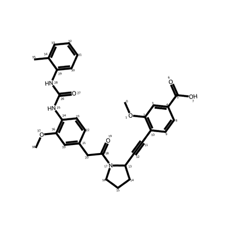 COc1cc(C(=O)O)ccc1C#CC1CCCN1C(=O)Cc1ccc(NC(=O)Nc2ccccc2C)c(OC)c1